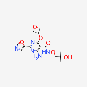 CC(C)(O)CONC(=O)c1c(N)nc(-c2cnco2)nc1OC1COC1